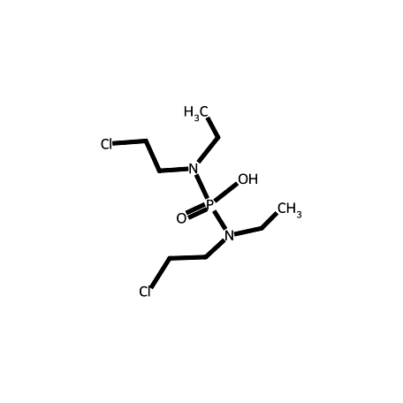 CCN(CCCl)P(=O)(O)N(CC)CCCl